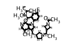 CC(=O)N1CC([C@@H](C)N2CC[C@@H](Cc3cn(-c4ccc(F)cc4C(=O)N(C)C(C)C)c4cncc(C)c34)C2)C1